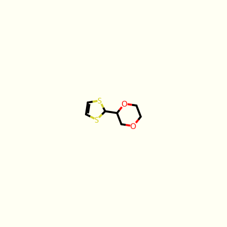 C1=CSC(C2COCCO2)S1